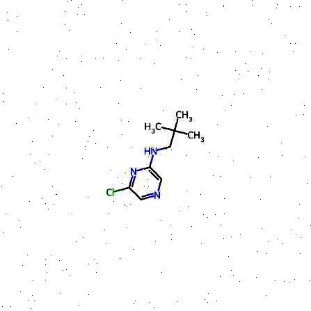 CC(C)(C)CNc1cncc(Cl)n1